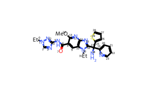 CCn1cnc(NC(=O)c2cc3c(nc2OC)nc(C(N)(c2ccccn2)c2cccs2)n3CC)n1